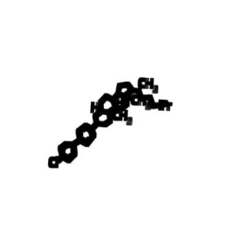 CC(C)CCC[C@@H](C)C1CCC2C3CC[C@H]4CC(c5ccc(-c6ccc(Cl)cc6)cc5)CCC4(C)[C@H]3CCC21C